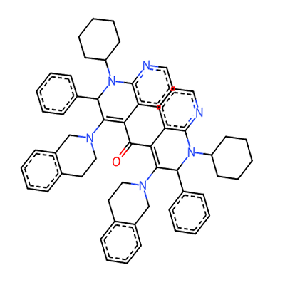 O=C(C1=C(N2CCc3ccccc3C2)C(c2ccccc2)N(C2CCCCC2)c2ncccc21)C1=C(N2CCc3ccccc3C2)C(c2ccccc2)N(C2CCCCC2)c2ncccc21